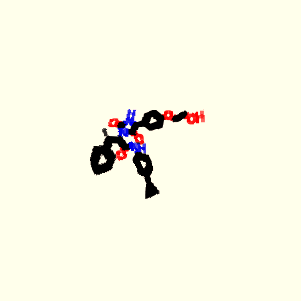 C[C@@H](c1ccccc1)[C@@H](C(=O)Nc1ccc(C2CC2)cc1)N1C(=O)NC(c2ccc(OCCO)cc2)C1=O